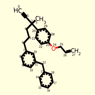 C#CC(C)(CCCc1cccc(Cc2ccccc2)c1)c1ccc(OCC=C)cc1